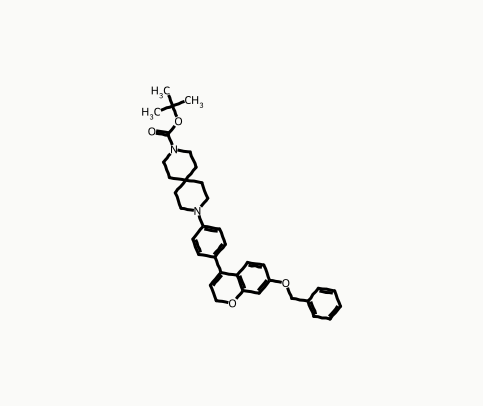 CC(C)(C)OC(=O)N1CCC2(CC1)CCN(c1ccc(C3=CCOc4cc(OCc5ccccc5)ccc43)cc1)CC2